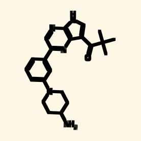 CC(C)(C)C(=O)c1c[nH]c2ncc(-c3cccc(N4CCC(N)CC4)c3)nc12